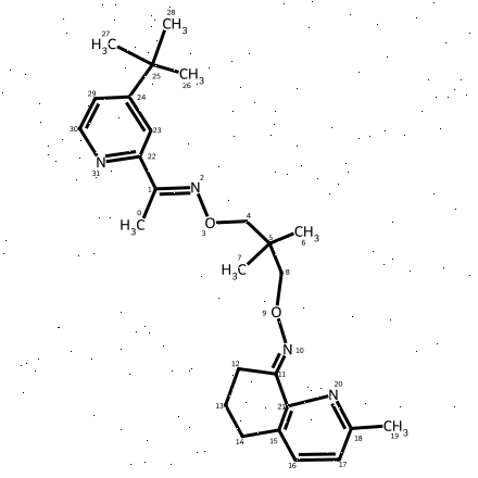 C/C(=N\OCC(C)(C)CO/N=C1\CCCc2ccc(C)nc21)c1cc(C(C)(C)C)ccn1